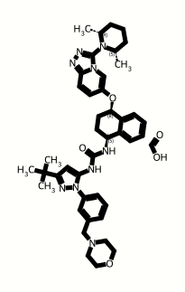 C[C@@H]1CCC[C@H](C)N1c1nnc2ccc(O[C@@H]3CC[C@H](NC(=O)Nc4cc(C(C)(C)C)nn4-c4cccc(CN5CCOCC5)c4)c4ccccc43)cn12.O=CO